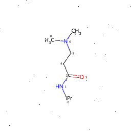 CC(C)NC(=O)CCN(C)C